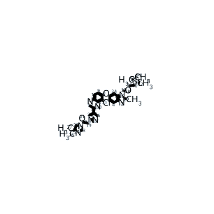 Cc1nc2ccc(Oc3ccc4ncc(-c5cnn(CC(=O)N6C=NC(C)(C)C6)c5)nc4c3Cl)cc2n1COCC[Si](C)(C)C